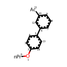 CCCOc1ccc(-c2cccc(C(C)=O)c2)cc1